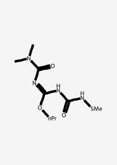 CCCOC(=NC(=O)N(C)C)NC(=O)NSC